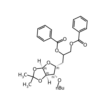 CCCCO[C@@H]1[C@H]2OC(C)(C)O[C@H]2O[C@@H]1CC(COC(=O)c1ccccc1)OC(=O)c1ccccc1